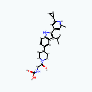 Cc1cc(-c2[nH]c3ccc(C4CCN(C(=O)CNC(=O)O)CC4)cc3c2C(C)C)cc(C2CC2)n1